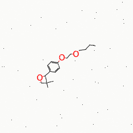 CCCCOCCOc1ccc(C2OCC2(C)C)cc1